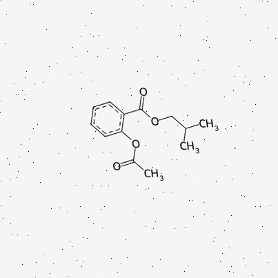 CC(=O)Oc1ccccc1C(=O)OCC(C)C